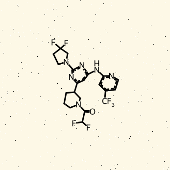 O=C(C(F)F)N1CCCC(c2cc(Nc3cc(C(F)(F)F)ccn3)nc(N3CCC(F)(F)C3)n2)C1